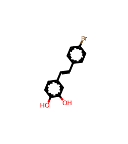 Oc1ccc(/C=C/c2ccc(Br)cc2)cc1O